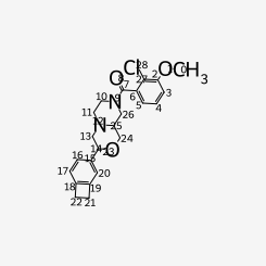 COc1cccc(C(=O)N2CCN3CC(c4ccc5c(c4)CC5)OCC3C2)c1Cl